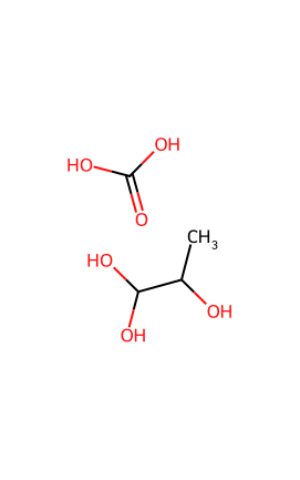 CC(O)C(O)O.O=C(O)O